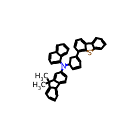 CC1(C)c2ccccc2-c2ccc(N(c3cccc4ccccc34)C3C=CC=C(c4cccc5c4sc4ccccc45)C3)cc21